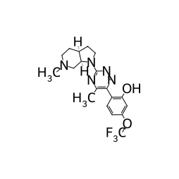 Cc1nc(N2CC[C@@H]3CCN(C)C[C@@H]32)nnc1-c1ccc(OC(F)(F)F)cc1O